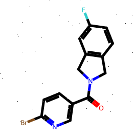 O=C(c1ccc(Br)nc1)N1Cc2ccc(F)cc2C1